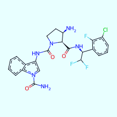 NC(=O)n1cc(NC(=O)N2CC[C@@H](N)[C@H]2C(=O)N[C@@H](c2cccc(Cl)c2F)C(F)F)c2ccccc21